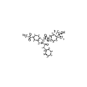 CS(=O)(=O)c1ccc2c(c1)CN(C(=O)Cc1ccccc1)C2C(=O)Nc1ccc(C(O)(C(F)(F)F)C(F)(F)F)cc1